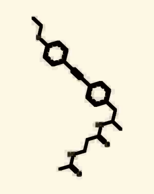 CCOc1ccc(C#Cc2ccc(CC(C)NC(=O)CCNC(C)=O)cc2)cc1